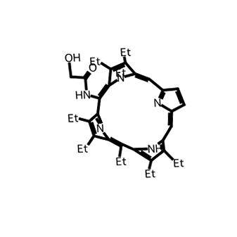 CCC1=C(CC)c2nc1c(CC)c1[nH]c(cc3nc(cc4c(CC)c(CC)c(c2NC(=O)CO)n4CC)C=C3)c(CC)c1CC